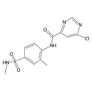 CNS(=O)(=O)c1ccc(NC(=O)c2cc(Cl)ncn2)c(C)c1